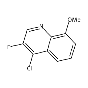 COc1cccc2c(Cl)c(F)cnc12